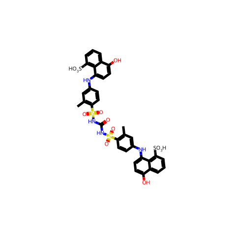 Cc1cc(Nc2ccc(O)c3cccc(S(=O)(=O)O)c23)ccc1S(=O)(=O)NC(=O)NS(=O)(=O)c1ccc(Nc2ccc(O)c3cccc(S(=O)(=O)O)c23)cc1C